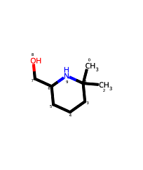 CC1(C)CCCC(CO)N1